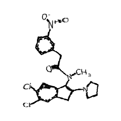 CN(C(=O)Cc1cccc([N+](=O)[O-])c1)C1c2cc(Cl)c(Cl)cc2CC1N1CCCC1